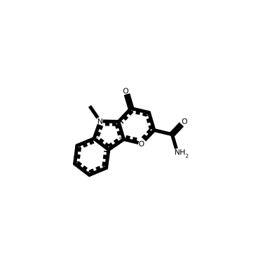 Cn1c2ccccc2c2oc(C(N)=O)cc(=O)c21